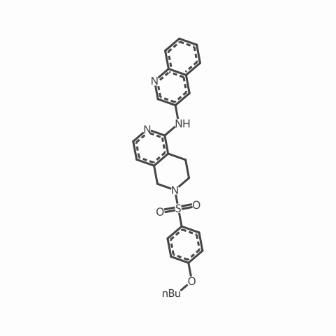 CCCCOc1ccc(S(=O)(=O)N2CCc3c(ccnc3Nc3cnc4ccccc4c3)C2)cc1